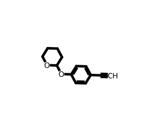 C#Cc1ccc(OC2CCCCO2)cc1